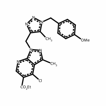 CCOC(=O)c1cnc2c(c(C)nn2Cc2nnn(Cc3ccc(OC)cc3)c2C)c1Cl